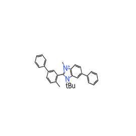 Cc1ccc(-c2ccccc2)cc1-c1n(C(C)(C)C)c2cc(-c3ccccc3)ccc2[n+]1C